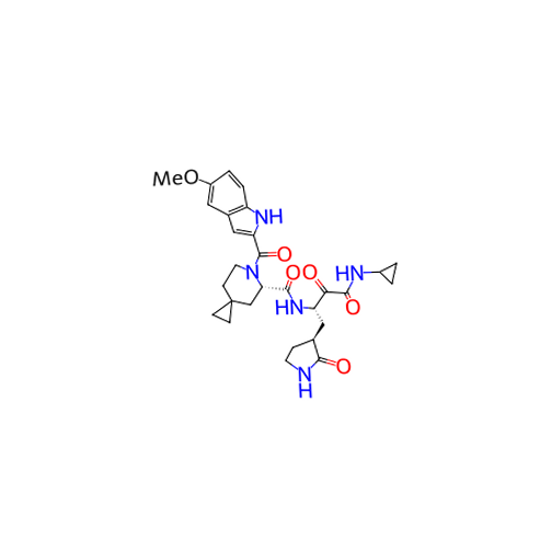 COc1ccc2[nH]c(C(=O)N3CCC4(CC4)C[C@H]3C(=O)N[C@@H](C[C@@H]3CCNC3=O)C(=O)C(=O)NC3CC3)cc2c1